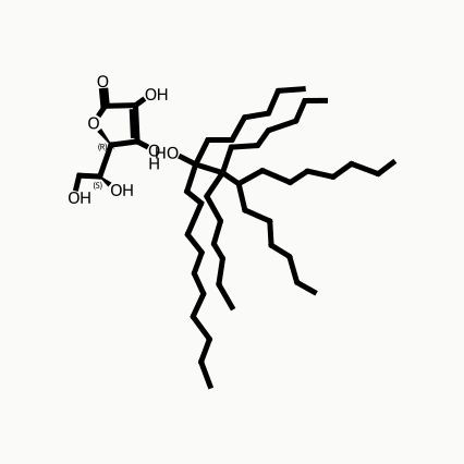 CCCCCCCCCCC(O)(CCCCCC)C(CCCCCC)(CCCCCC)C(CCCCCC)CCCCCCC.O=C1O[C@H]([C@@H](O)CO)C(O)=C1O